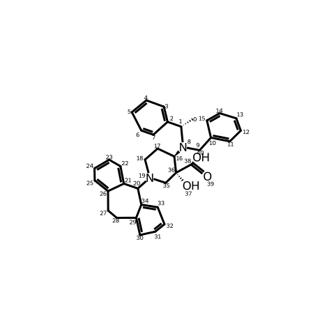 C[C@@H](c1ccccc1)N(Cc1ccccc1)[C@@H]1CCN(C2c3ccccc3CCc3ccccc32)C[C@]1(O)C(=O)O